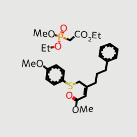 CCOC(=O)CP(=O)(OC)OCC.COC(=O)C=C(CCCc1ccccc1)CSc1ccc(OC)cc1